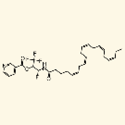 CC/C=C\C/C=C\C/C=C\C/C=C\C/C=C\CCCC(=O)NC(F)C(OC(=O)c1cccnc1)C(F)(F)F